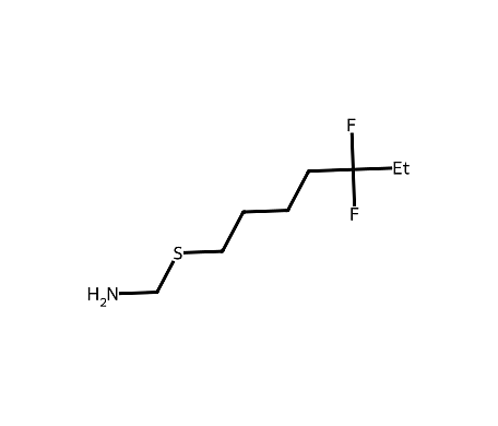 CCC(F)(F)CCCCSCN